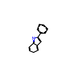 C1=CC2=NC(c3ccccc3)=CC2=CC1